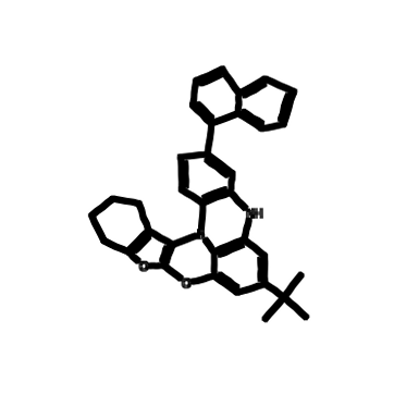 CC(C)(C)c1cc2c3c(c1)Oc1oc4c(c1B3c1ccc(-c3cccc5ccccc35)cc1N2)CCCC4